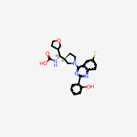 O=C(O)N[C@H](C1CCOC1)[C@H]1CCN(c2nc(-c3ccccc3O)nc3ccc(F)cc23)C1